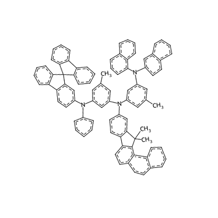 Cc1cc(N(c2cc(C)cc(N(c3ccc4ccccc4c3)c3cccc4ccccc34)c2)c2ccc3c(c2)C(C)(C)c2c-3ccc3ccc4ccccc4c23)cc(N(c2ccccc2)c2ccc3c(c2)C2(c4ccccc4-c4ccccc42)c2ccccc2-3)c1